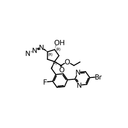 CCOC(=O)[C@@]1(Cc2cc(-c3ncc(Br)cn3)ccc2F)C[C@@H](O)[C@H](N=[N+]=[N-])C1